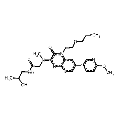 CCCOCCn1c(=O)c(N(C)CC(=O)NC[C@H](C)O)nc2ncc(-c3ccc(OC)nc3)cc21